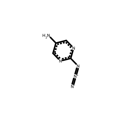 [N-]=[N+]=Nc1ncc(N)cn1